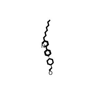 CCCCCCCCc1ccc(-c2ccc([C@H]3CC[C@H](CC=O)CC3)cc2)nc1